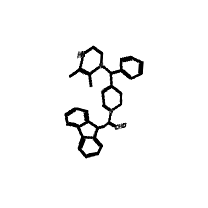 CC1NCCN(C(c2ccccc2)C2CCN(C(C=O)C3c4ccccc4-c4ccccc43)CC2)C1C